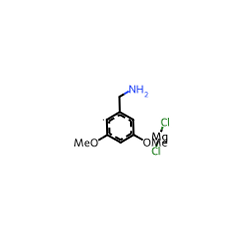 COc1[c]c(CN)cc(OC)c1.[Cl][Mg][Cl]